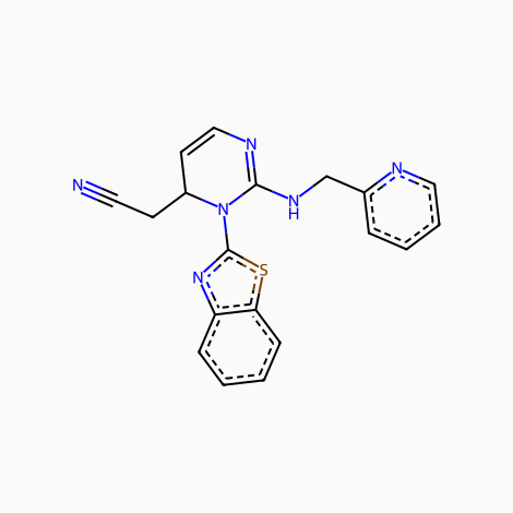 N#CCC1C=CN=C(NCc2ccccn2)N1c1nc2ccccc2s1